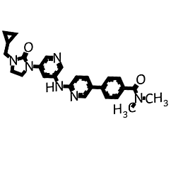 CN(C)C(=O)c1ccc(-c2ccc(Nc3cncc(N4CCN(CC5CC5)C4=O)c3)nc2)cc1